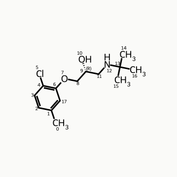 Cc1ccc(Cl)c(OC[C@H](O)CNC(C)(C)C)c1